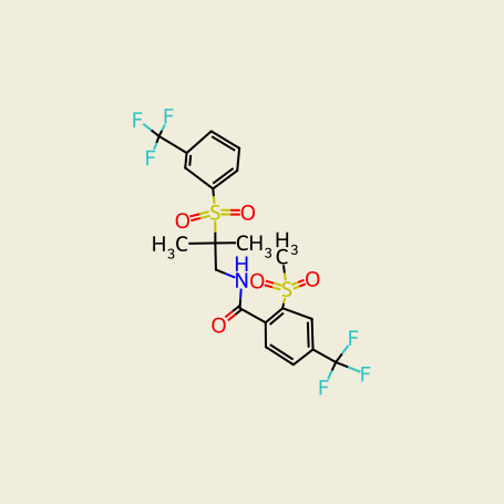 CC(C)(CNC(=O)c1ccc(C(F)(F)F)cc1S(C)(=O)=O)S(=O)(=O)c1cccc(C(F)(F)F)c1